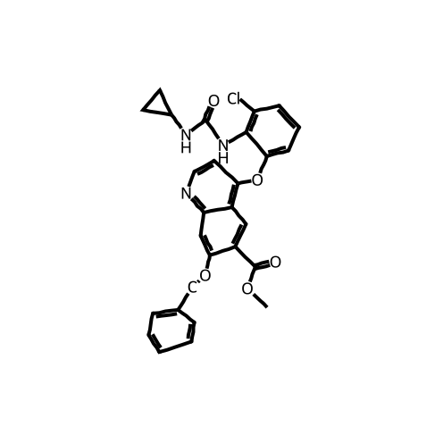 COC(=O)c1cc2c(Oc3cccc(Cl)c3NC(=O)NC3CC3)ccnc2cc1OCc1ccccc1